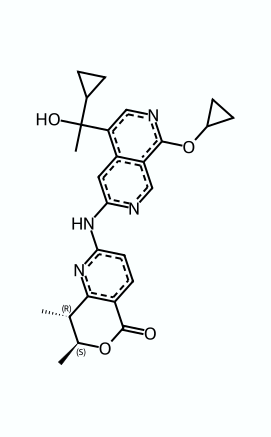 C[C@@H]1OC(=O)c2ccc(Nc3cc4c(C(C)(O)C5CC5)cnc(OC5CC5)c4cn3)nc2[C@H]1C